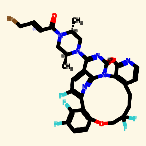 CC(C)c1nccc2c1-n1c(=O)nc(N3C[C@@H](C)N(C(=O)/C=C/CBr)C[C@@H]3C)c3cc(F)c(nc31)-c1c(ccc(F)c1F)OCC(F)(F)CC2